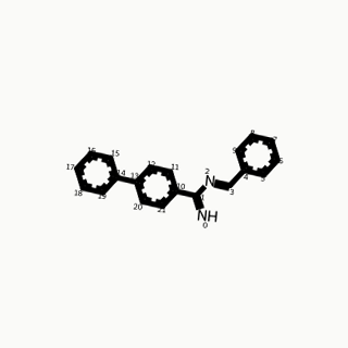 N=C(/N=C/c1ccccc1)c1ccc(-c2ccccc2)cc1